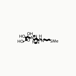 CSCC/C=N/Nc1ncnc2c1ncn2[C@@H]1O[C@H](CO)C(O)[C@@H]1O